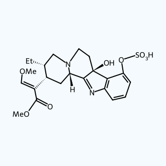 CC[C@@H]1CN2CC[C@@]3(O)C(=Nc4cccc(OS(=O)(=O)O)c43)[C@@H]2C[C@@H]1/C(=C\OC)C(=O)OC